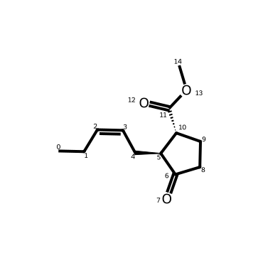 CC/C=C\C[C@@H]1C(=O)CC[C@H]1C(=O)OC